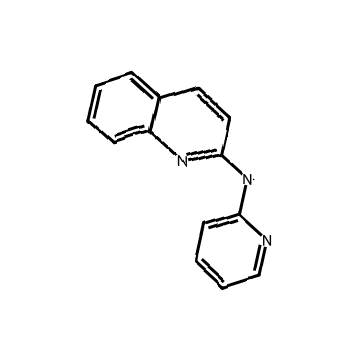 c1ccc([N]c2ccc3ccccc3n2)nc1